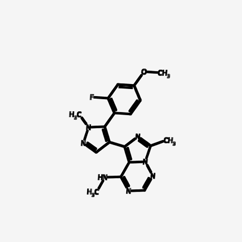 CNc1ncnn2c(C)nc(-c3cnn(C)c3-c3ccc(OC)cc3F)c12